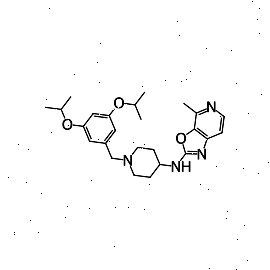 Cc1nccc2nc(NC3CCN(Cc4cc(OC(C)C)cc(OC(C)C)c4)CC3)oc12